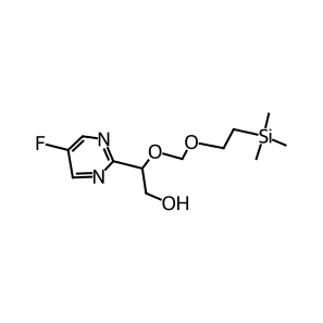 C[Si](C)(C)CCOCOC(CO)c1ncc(F)cn1